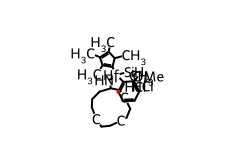 COc1cccc[c]1[Hf]([NH]C1CCCCCCCCCCC1)([SiH2]C)[C]1=C(C)C(C)=C(C)C1C.Cl.Cl